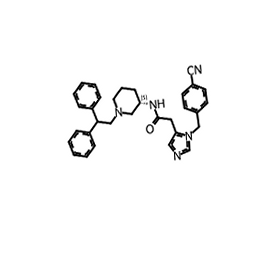 N#Cc1ccc(Cn2cncc2CC(=O)N[C@H]2CCCN(CC(c3ccccc3)c3ccccc3)C2)cc1